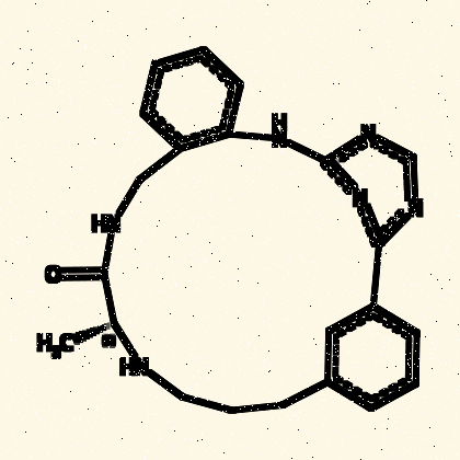 C[C@H]1NCCCc2cccc(c2)-c2ncnc(n2)Nc2ccccc2CNC1=O